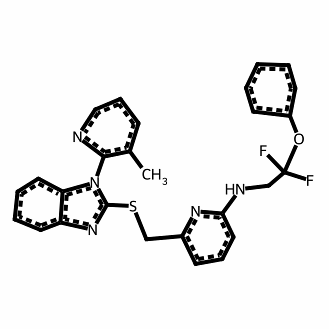 Cc1cccnc1-n1c(SCc2cccc(NCC(F)(F)Oc3ccccc3)n2)nc2ccccc21